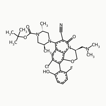 C[C@@H]1CN(c2c(C#N)c(=O)n3c4c(c(-c5c(O)cccc5F)c(Cl)cc24)OC[C@@H]3CN(C)C)[C@@H](C)CN1C(=O)OC(C)(C)C